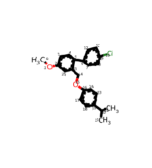 COc1ccc(-c2ccc(Cl)cc2)c(COc2ccc(C(C)C)cc2)c1